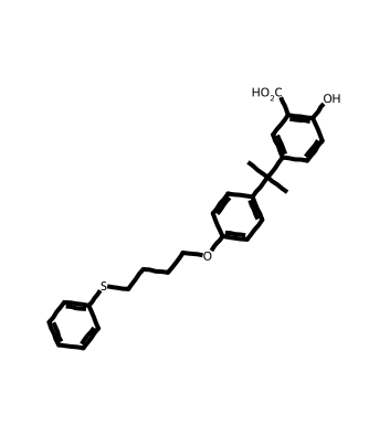 CC(C)(c1ccc(OCCCCSc2ccccc2)cc1)c1ccc(O)c(C(=O)O)c1